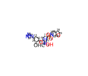 O=CNO.O=S(=O)(c1ccc(Oc2ccc(-n3cnnc3)cc2)cc1)N1CCc2ccoc2C1